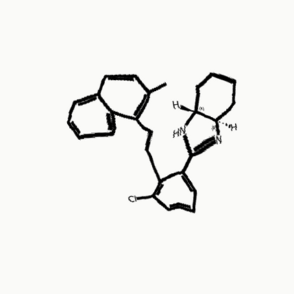 Cc1ccc2ccccc2c1CCc1c(Cl)cccc1C1=N[C@@H]2CCCC[C@H]2N1